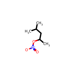 CC(C)CC(C)O[N+](=O)[O-]